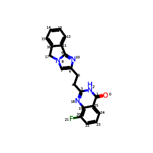 O=c1[nH]c(CCc2cn3c(n2)-c2ccccc2C3)nc2c(F)cccc12